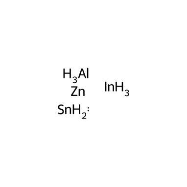 [AlH3].[InH3].[SnH2].[Zn]